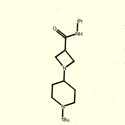 CC(C)NC(=O)C1CN(C2CCN(C(C)(C)C)CC2)C1